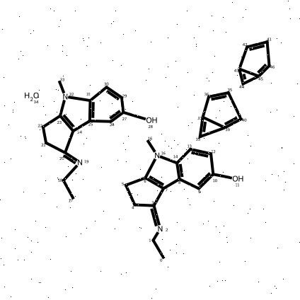 CCN=C1CCc2c1c1cc(O)ccc1n2C.CCN=C1CCc2c1c1cc(O)ccc1n2C.O.c1cc2cc-2c1.c1cc2cc-2c1